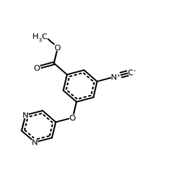 [C-]#[N+]c1cc(Oc2cncnc2)cc(C(=O)OC)c1